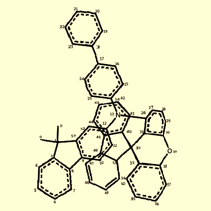 CC1(C)c2ccccc2-c2ccc(N(c3ccc(-c4ccccc4)cc3)c3cccc4c3C3(c5ccccc5O4)c4ccccc4C4C=CC=CC43)cc21